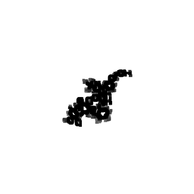 COc1ccc(Cn2c(C)cc(OCc3ccccc3CNC(=O)Nc3cc(C(C)(C)C)nn3-c3cccc(OCCO)c3)c(Cl)c2=O)cc1Cl